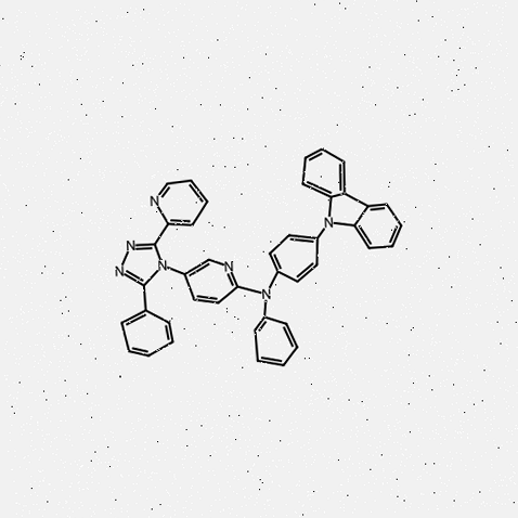 c1ccc(-c2nnc(-c3ccccn3)n2-c2ccc(N(c3ccccc3)c3ccc(-n4c5ccccc5c5ccccc54)cc3)nc2)cc1